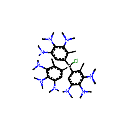 Cc1c([Si](Cl)(c2cc(N(C)C)c(N(C)C)c(N(C)C)c2C)c2cc(N(C)C)c(N(C)C)c(N(C)C)c2C)cc(N(C)C)c(N(C)C)c1N(C)C